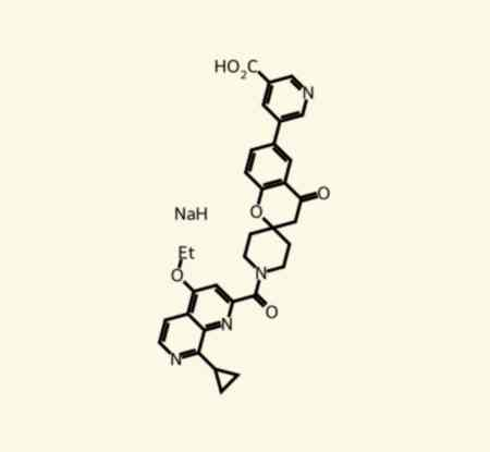 CCOc1cc(C(=O)N2CCC3(CC2)CC(=O)c2cc(-c4cncc(C(=O)O)c4)ccc2O3)nc2c(C3CC3)nccc12.[NaH]